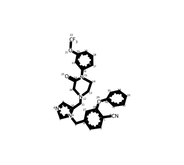 N#Cc1ccc(Cn2cncc2CN2CCN(c3cccc(OC(F)(F)F)c3)C(=O)C2)cc1Oc1ccccc1